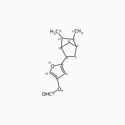 CC1C2CC(c3cc(OC=O)co3)C(C2)C1C